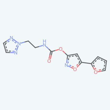 O=C(NCCn1nccn1)Oc1cc(-c2ccco2)on1